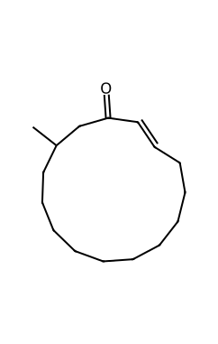 CC1CCCCCCCCCC/C=C/C(=O)C1